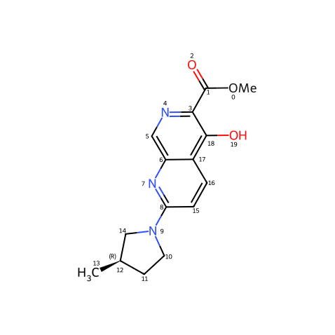 COC(=O)c1ncc2nc(N3CC[C@@H](C)C3)ccc2c1O